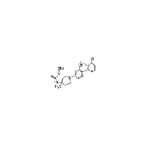 CC1(NC(=O)OC(C)(C)C)CCN(c2cnc(-c3cccc(Cl)c3Cl)c(C#N)n2)CC1